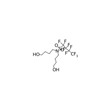 O=S(=O)(N(CCCCO)CCCCO)C(F)(F)C(F)(F)C(F)(F)C(F)(F)F